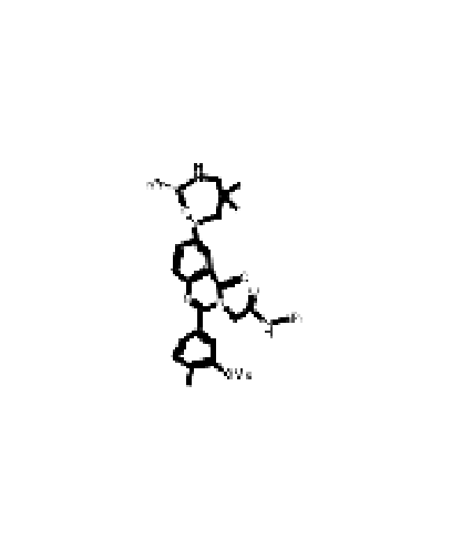 CCC[C@H]1CN(c2ccc3nc(-c4ccc(F)c(OC)c4)n(CC(=O)NC(C)C)c(=O)c3c2)CC(C)(C)CN1